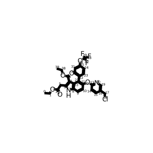 CCOC(=O)Cc1[nH]c2ccc(Oc3ccc(CCl)cn3)c(-c3ccc(OC(F)(F)F)cc3)c2c1C(=O)OCC